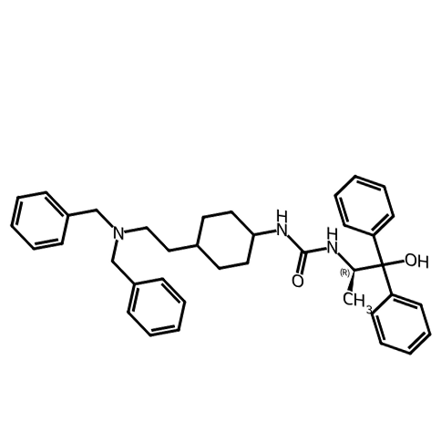 C[C@@H](NC(=O)NC1CCC(CCN(Cc2ccccc2)Cc2ccccc2)CC1)C(O)(c1ccccc1)c1ccccc1